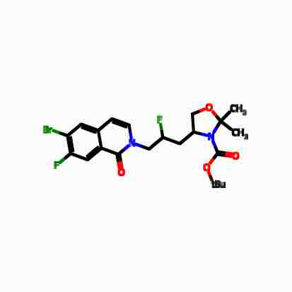 CC(C)(C)OC(=O)N1C(CC(F)Cn2ccc3cc(Br)c(F)cc3c2=O)COC1(C)C